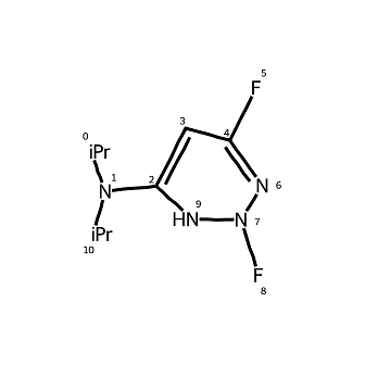 CC(C)N(C1=CC(F)=NN(F)N1)C(C)C